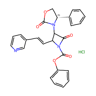 Cl.O=C(Oc1ccccc1)N1C(=O)C(N2C(=O)OC[C@@H]2c2ccccc2)C1C=Cc1cccnc1